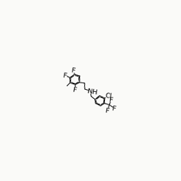 Cc1c(F)c(F)cc(CCNCc2ccc(C(F)(F)F)c(Cl)c2)c1F